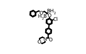 BC(B)(COCc1ccccc1)Oc1ccc(-c2ccc(C(=O)N3CCOCC3)cc2)cc1Cl